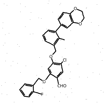 Cc1c(COc2cc(OCc3ccccc3F)c(C=O)cc2Cl)cccc1-c1ccc2c(c1)OCCO2